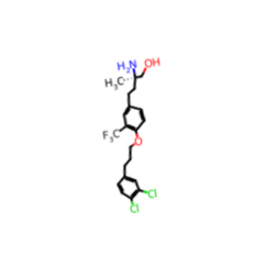 C[C@](N)(CO)CCc1ccc(OCCCc2ccc(Cl)c(Cl)c2)c(C(F)(F)F)c1